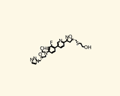 O=CC1O[C@@H](Cn2ccnn2)CN1c1ccc(-c2ccc(C3=NO[C@H](CSCCO)C3)nc2)c(F)c1